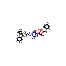 c1ccc(CC2COC(N3CCN(CCCCC4(Cc5ccccc5)CCC4)CC3)CO2)cc1